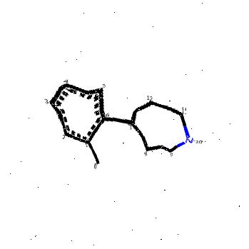 Cc1ccccc1C1CC[N]CC1